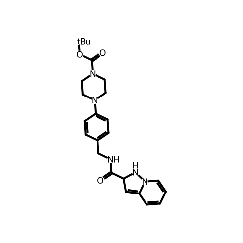 CC(C)(C)OC(=O)N1CCN(c2ccc(CNC(=O)C3C=C4C=CC=CN4N3)cc2)CC1